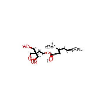 CCCCCCCCCCCCC(CCCCCCCCCC)CC(=O)OCCC(CO)(CO)CO